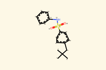 CC(C)(C)Cc1ccc(S(=O)(=O)Nc2ccccc2)cc1